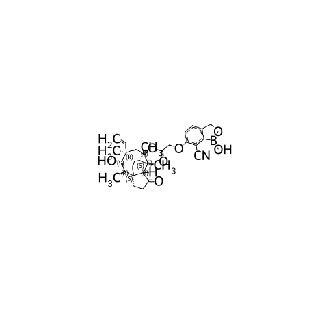 C=C[C@@]1(C)C[C@@H](OC(=O)COc2ccc3c(c2C#N)B(O)OC3)[C@]2(C)[C@@H]3C(=O)CC[C@@]3(CC[C@@H]2C)[C@@H](C)[C@@H]1O